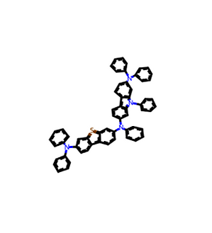 c1ccc(N(c2ccccc2)c2ccc3c(c2)sc2cc(N(c4ccccc4)c4ccc5c6ccc(N(c7ccccc7)c7ccccc7)cc6n(-c6ccccc6)c5c4)ccc23)cc1